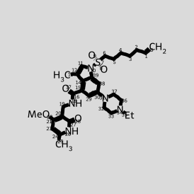 C=CCCCCCS(=O)(=O)n1cc(C)c2c(C(=O)NCc3c(OC)cc(C)[nH]c3=O)cc(N3CCN(CC)CC3)cc21